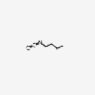 C[CH]CCN=C=O